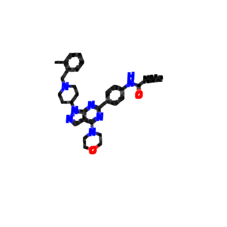 CNC(=O)Nc1ccc(-c2nc(N3CCOCC3)c3cnn(C4CCN(Cc5ccccc5C)CC4)c3n2)cc1